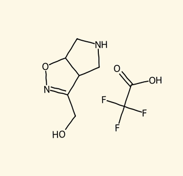 O=C(O)C(F)(F)F.OCC1=NOC2CNCC12